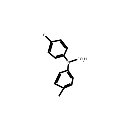 Cc1ccc(N(C(=O)O)c2ccc(F)cc2)cc1